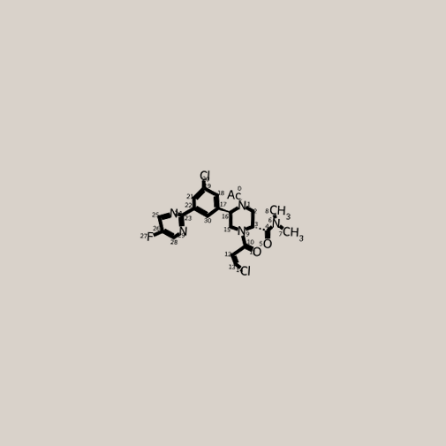 CC(=O)N1C[C@H](C(=O)N(C)C)N(C(=O)/C=C\Cl)C[C@H]1c1cc(Cl)cc(-c2ncc(F)cn2)c1